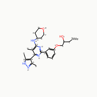 CNCC(O)COc1cccc(-c2nc(NC3CCOCC3)c(C)c(-c3c(C)n[nH]c3C)n2)c1